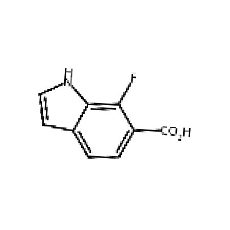 O=C(O)c1ccc2cc[nH]c2c1F